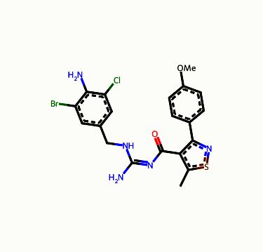 COc1ccc(-c2nsc(C)c2C(=O)/N=C(/N)NCc2cc(Cl)c(N)c(Br)c2)cc1